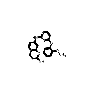 COc1ccccc1Oc1ccnc(Nc2ccc3c(c2)OC(=N)CC3)n1